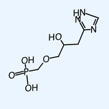 O=P(O)(O)COCC(O)Cc1nc[nH]n1